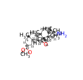 COC(=O)[C@H]1CC[C@]2(C)CC[C@]3(C)C(=CC(=O)[C@@H]4[C@@]5(C)CCC(N)C(C)(C)[C@@H]5CC[C@]43C)[C@H]2C1